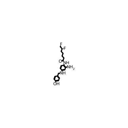 Nc1cc(NCc2ccc(O)cc2)ccc1NC(=O)CCCC[C@@H](F)CF